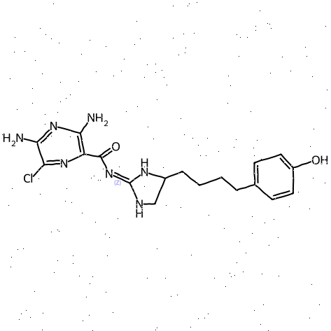 Nc1nc(N)c(C(=O)/N=C2/NCC(CCCCc3ccc(O)cc3)N2)nc1Cl